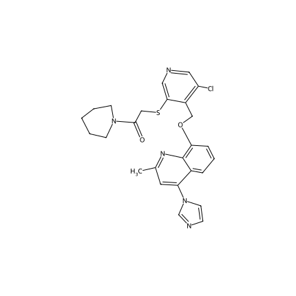 Cc1cc(-n2ccnc2)c2cccc(OCc3c(Cl)cncc3SCC(=O)N3CCCCC3)c2n1